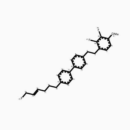 COc1ccc(CCc2ccc(-c3ccc(CCC/C=C/CF)cc3)cc2)c(F)c1F